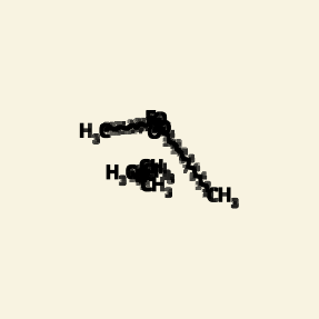 CCCCCCCCCCCCCCCCOS(=O)(=O)C(F)CCCCCCCCC.CC[N+](CC)(CC)CC